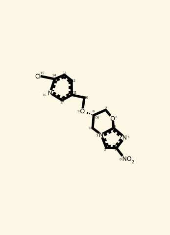 O=[N+]([O-])c1cn2c(n1)OC[C@@H](OCc1ccc(Cl)nc1)C2